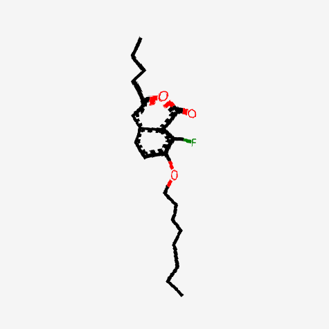 CCCCCCCCOc1ccc2cc(CCCC)oc(=O)c2c1F